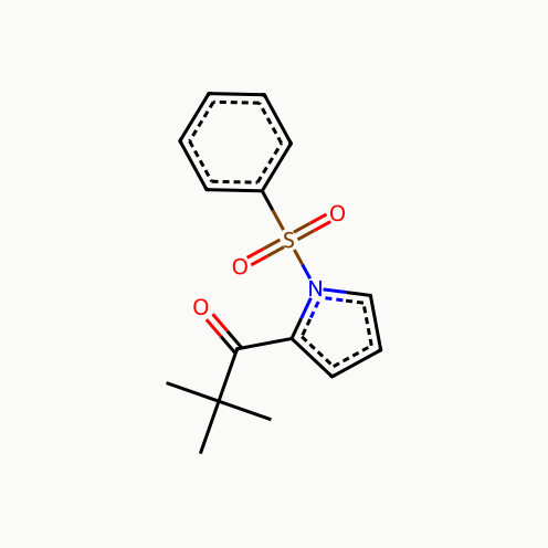 CC(C)(C)C(=O)c1cccn1S(=O)(=O)c1ccccc1